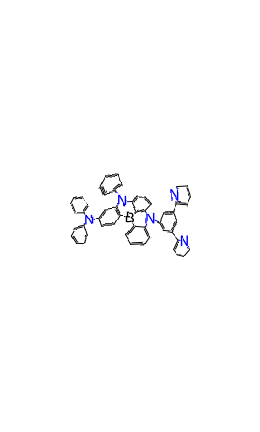 c1ccc(N(c2ccccc2)c2ccc3c(c2)N(c2ccccc2)c2cccc4c2B3c2ccccc2N4c2cc(-c3ccccn3)cc(-c3ccccn3)c2)cc1